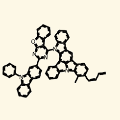 C=C/C=C\c1ccc2c3cc4c5ccccc5n(-c5nc(-c6ccc7c8ccccc8n(-c8ccccc8)c7c6)nc6oc7ccccc7c56)c4c4c5ccccc5n(c2c1C)c34